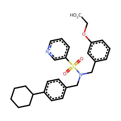 O=C(O)COc1cccc(CN(Cc2ccc(C3CCCCC3)cc2)S(=O)(=O)c2cccnc2)c1